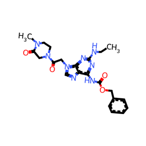 CCNc1nc(NC(=O)OCc2ccccc2)c2ncn(CC(=O)N3CCN(C)C(=O)C3)c2n1